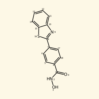 O=C(NO)c1ccc(-c2nc3ccccc3s2)cc1